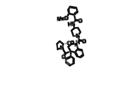 COc1ccccc1C(=O)NC1CCN(C(=O)[C@H]2CC[C@@](C(=O)N3CCC[C@@H]3C(=O)O)(c3ccccc3)c3ccccc32)CC1